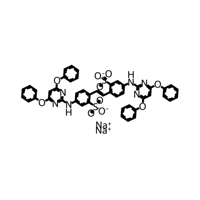 O=S(=O)([O-])c1cc(Nc2nc(Oc3ccccc3)cc(Oc3ccccc3)n2)ccc1C=Cc1ccc(Nc2nc(Oc3ccccc3)cc(Oc3ccccc3)n2)cc1S(=O)(=O)[O-].[Na+].[Na+]